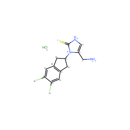 Cl.NCc1c[nH]c(=S)n1C1Cc2cc(F)c(F)cc2C1